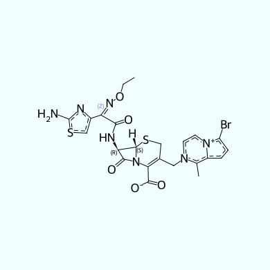 CCO/N=C(\C(=O)N[C@@H]1C(=O)N2C(C(=O)[O-])=C(Cn3cc[n+]4c(Br)ccc-4c3C)CS[C@@H]12)c1csc(N)n1